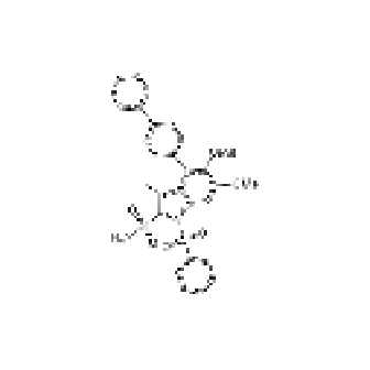 COc1cc2c(c(C)c(S(N)(=O)=O)n2S(=O)(=O)c2ccccc2)c(-c2ccc(-c3ccccc3)cc2)c1OC